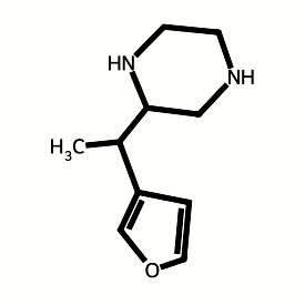 CC(c1ccoc1)C1CNCCN1